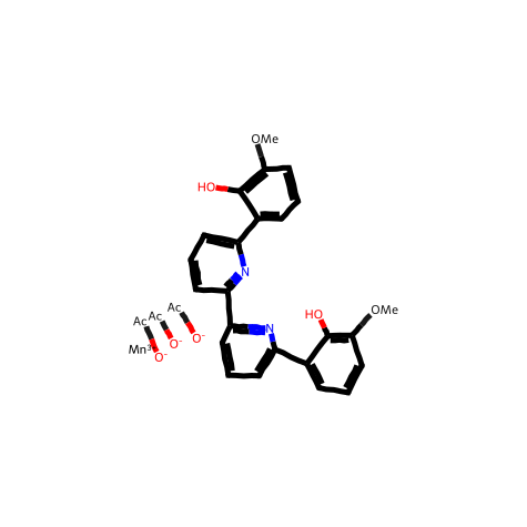 CC(=O)[O-].CC(=O)[O-].CC(=O)[O-].COc1cccc(-c2cccc(-c3cccc(-c4cccc(OC)c4O)n3)n2)c1O.[Mn+3]